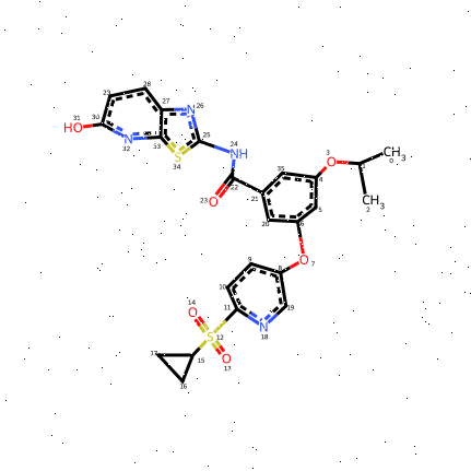 CC(C)Oc1cc(Oc2ccc(S(=O)(=O)C3CC3)nc2)cc(C(=O)Nc2nc3ccc(O)nc3s2)c1